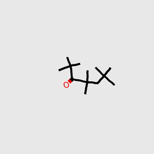 CC(C)(C)CC(C)(C)C(=O)C(C)(C)C